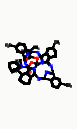 Cc1ccc2c(c1)C1=NC/2=N\c2c3cccc(-c4ccccc4)c3c3n2[Si](OC(=O)N(C)C)(OC(=O)N(C)C)n2/c(c4ccc(C)cc4/c2=N/C2=NC(=N\3)/c3cc(C)ccc32)=N\1